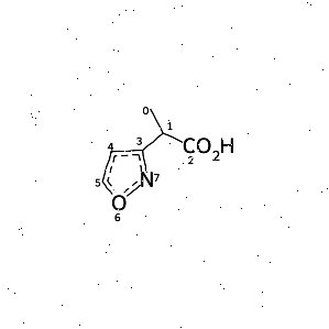 CC(C(=O)O)c1ccon1